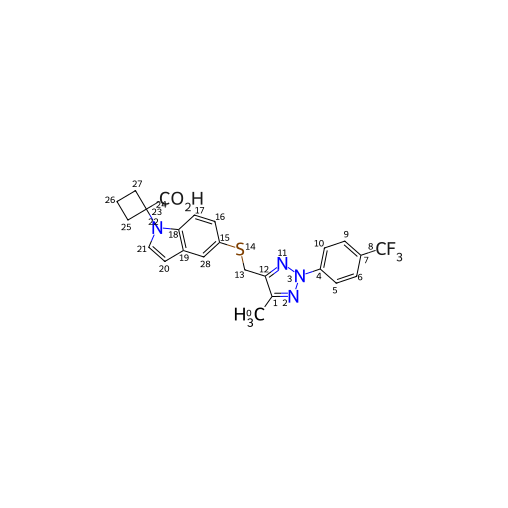 Cc1nn(-c2ccc(C(F)(F)F)cc2)nc1CSc1ccc2c(ccn2C2(C(=O)O)CCC2)c1